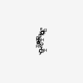 CC1CCC(CNC(=O)C23CC(C2)[C@@H](NC(=O)COc2ccc(Cl)c(F)c2)C3)NC1